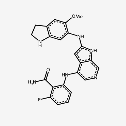 COc1cc2c(cc1Nc1cc3c(Nc4cccc(F)c4C(N)=O)cncc3[nH]1)NCC2